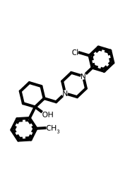 Cc1ccccc1C1(O)CCCCC1CN1CCN(c2ccccc2Cl)CC1